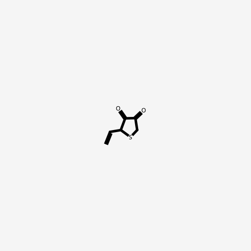 C=CC1SCC(=O)C1=O